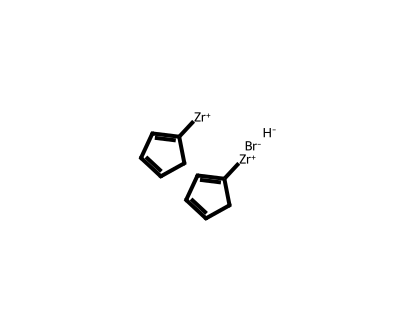 [Br-].[H-].[Zr+][C]1=CC=CC1.[Zr+][C]1=CC=CC1